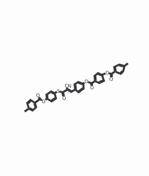 Cc1ccc(C(=O)Oc2ccc(SC(=O)/C(C#N)=C/c3ccc(OC(=O)c4ccc(OC(=O)c5ccc(C)cc5)cc4)cc3)cc2)cc1